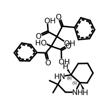 CC1(C)CN[C@H]2CCCC[C@H]2N1.O=C(O)C(O)(C(=O)c1ccccc1)C(O)(C(=O)O)C(=O)c1ccccc1